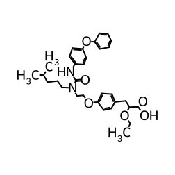 CCOC(Cc1ccc(OCCN(CCCC(C)C)C(=O)Nc2ccc(Oc3ccccc3)cc2)cc1)C(=O)O